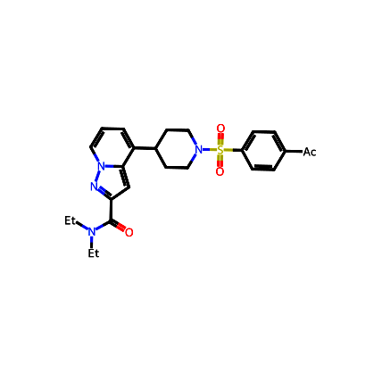 CCN(CC)C(=O)c1cc2c(C3CCN(S(=O)(=O)c4ccc(C(C)=O)cc4)CC3)cccn2n1